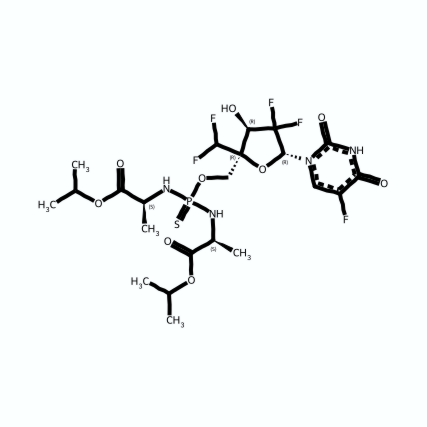 CC(C)OC(=O)[C@H](C)NP(=S)(N[C@@H](C)C(=O)OC(C)C)OC[C@@]1(C(F)F)O[C@@H](n2cc(F)c(=O)[nH]c2=O)C(F)(F)[C@@H]1O